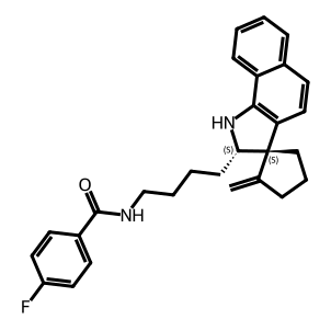 C=C1CCC[C@@]12c1ccc3ccccc3c1N[C@H]2CCCCNC(=O)c1ccc(F)cc1